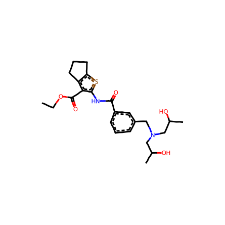 CCOC(=O)c1c(NC(=O)c2cccc(CN(CC(C)O)CC(C)O)c2)sc2c1CCC2